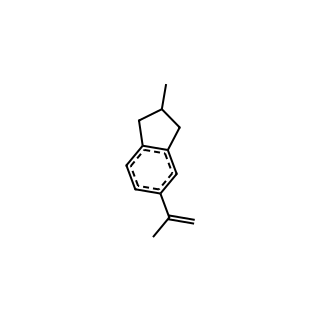 C=C(C)c1ccc2c(c1)CC(C)C2